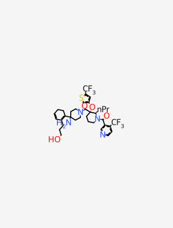 CCC[C@H]1N(C(=O)c2cnccc2C(F)(F)F)CCC[C@@]1(Oc1csc(C(F)(F)F)c1)C(=O)N1CCC(N)(C2=C(CCCO)C=CCC2)CC1